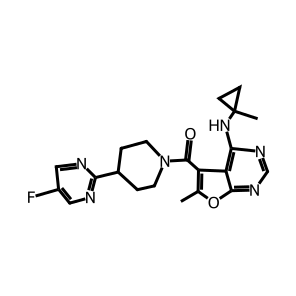 Cc1oc2ncnc(NC3(C)CC3)c2c1C(=O)N1CCC(c2ncc(F)cn2)CC1